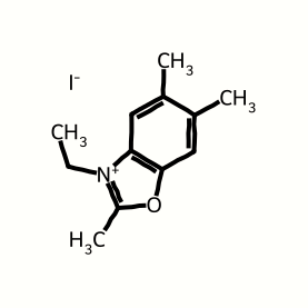 CC[n+]1c(C)oc2cc(C)c(C)cc21.[I-]